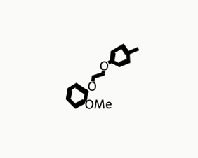 COc1ccccc1OCCOc1ccc(C)cc1